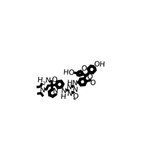 COc1nc(Nc2cccc(C(CCN(C(C)C)C(C)C)(C(N)=O)c3ccccn3)c2)nc(Nc2ccc3c(c2)C2(OC3=O)c3ccc(O)cc3Oc3cc(O)ccc32)n1